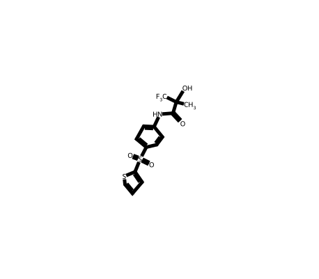 CC(O)(C(=O)Nc1ccc(S(=O)(=O)c2cccs2)cc1)C(F)(F)F